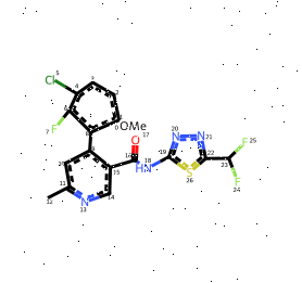 COc1ccc(Cl)c(F)c1-c1cc(C)ncc1C(=O)Nc1nnc(C(F)F)s1